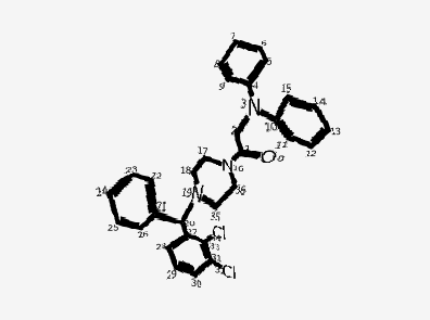 O=C(CN(c1ccccc1)c1ccccc1)N1CCN(C(c2ccccc2)c2cccc(Cl)c2Cl)CC1